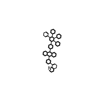 C1=CC(c2cc(-c3ccc(-c4c5ccccc5c(-c5cccc(C6=CCCc7cccnc76)c5)c5ccccc45)cc3)c(-c3ccccc3)c(-c3ccccc3)c2-c2ccccc2)=CCC1